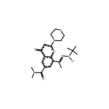 CC(=N[S+]([O-])C(C)(C)C)c1cc(C(=O)N(C)C)cc2c(=O)cc(N3CCOCC3)oc12